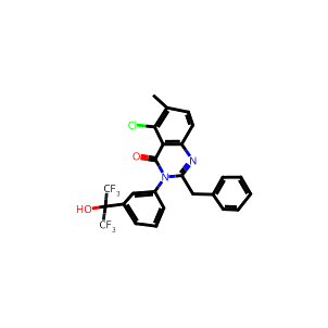 Cc1ccc2nc(Cc3ccccc3)n(-c3cccc(C(O)(C(F)(F)F)C(F)(F)F)c3)c(=O)c2c1Cl